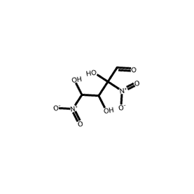 O=CC(O)(C(O)C(O)[N+](=O)[O-])[N+](=O)[O-]